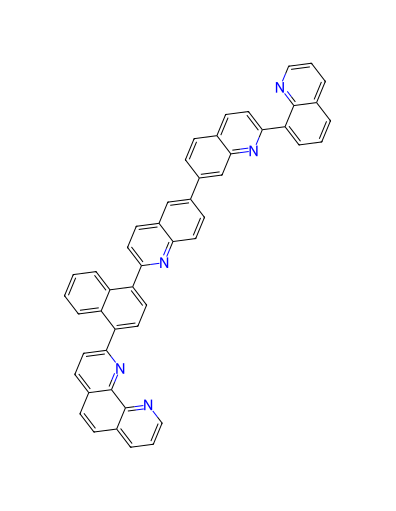 c1cnc2c(-c3ccc4ccc(-c5ccc6nc(-c7ccc(-c8ccc9ccc%10cccnc%10c9n8)c8ccccc78)ccc6c5)cc4n3)cccc2c1